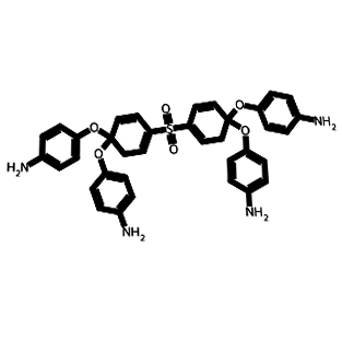 Nc1ccc(OC2(Oc3ccc(N)cc3)C=CC(S(=O)(=O)C3=CCC(Oc4ccc(N)cc4)(Oc4ccc(N)cc4)C=C3)=CC2)cc1